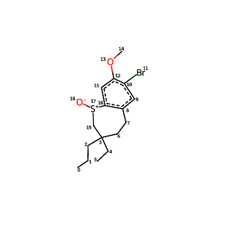 CCCC1(CC)CCc2cc(Br)c(OC)cc2[S+]([O-])C1